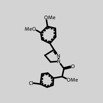 COc1ccc(C2=NN(C(=O)C(OC)c3ccc(Cl)cc3)CC2)cc1OC